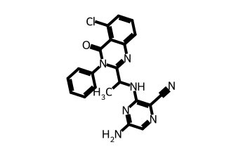 CC(Nc1nc(N)cnc1C#N)c1nc2cccc(Cl)c2c(=O)n1-c1ccccc1